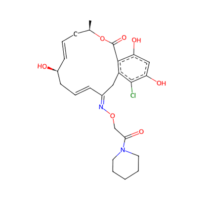 C[C@@H]1C/C=C/[C@H](O)C/C=C/C(=NOCC(=O)N2CCCCC2)Cc2c(Cl)c(O)cc(O)c2C(=O)O1